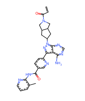 C=CC(=O)N1CC2CC(n3nc(-c4ccc(C(=O)Nc5ncccc5C)cn4)c4c(N)ncnc43)CC2C1